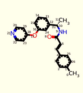 Cc1ccc(C=CC(=O)N[C@@H](C)c2cccc(Oc3ccncc3)c2)cc1